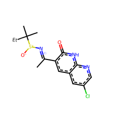 CCC(C)(C)[S+]([O-])/N=C(\C)c1cc2cc(Cl)cnc2[nH]c1=O